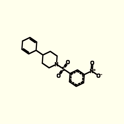 O=[N+]([O-])c1cccc(S(=O)(=O)N2CCC(C3C=CCC=C3)CC2)c1